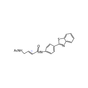 CC(=O)NC/C=C/C(=O)Nc1ccc(-c2nc3ccccc3s2)cc1